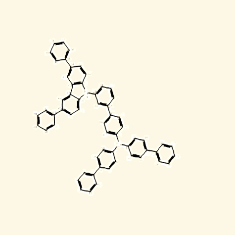 c1ccc(-c2ccc(B(c3ccc(-c4ccccc4)cc3)c3ccc(-c4cccc(-n5c6ccc(-c7ccccc7)cc6c6cc(-c7ccccc7)ccc65)c4)cc3)cc2)cc1